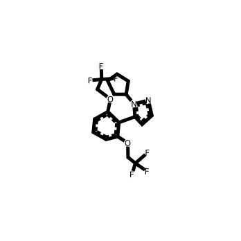 FC(F)(F)COc1cccc(OCC(F)(F)F)c1-c1ccnn1C1CCCC1